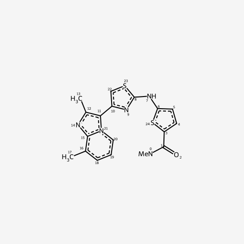 CNC(=O)c1ccc(Nc2nc(-c3c(C)nc4c(C)cccn34)cs2)s1